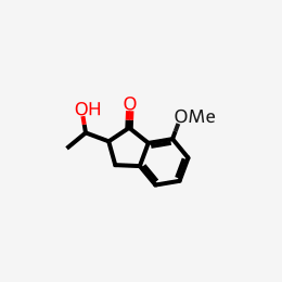 COc1cccc2c1C(=O)C(C(C)O)C2